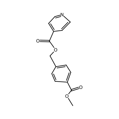 COC(=O)c1ccc(COC(=O)c2ccncc2)cc1